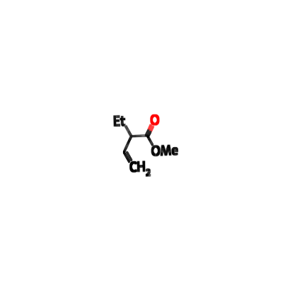 C=CC(CC)C(=O)OC